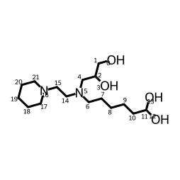 OCC(O)CN(CCCCCC(O)O)CCN1CCCCC1